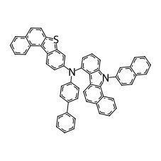 c1ccc(-c2ccc(N(c3ccc4c(c3)sc3ccc5ccccc5c34)c3cccc4c3c3ccc5ccccc5c3n4-c3ccc4ccccc4c3)cc2)cc1